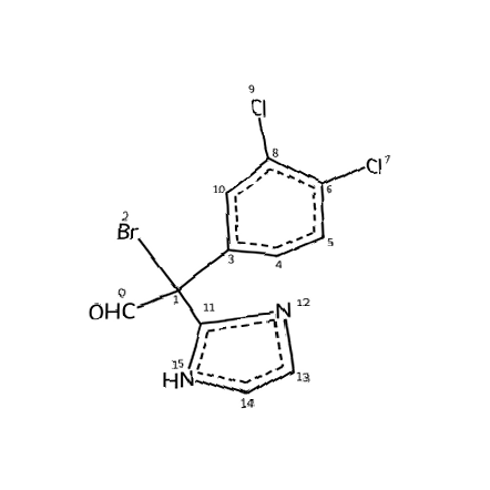 O=CC(Br)(c1ccc(Cl)c(Cl)c1)c1ncc[nH]1